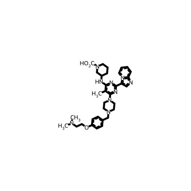 Cc1c(NC2CCCN(C(=O)O)C2)nc(-c2cnc3ccccn23)nc1N1CCN(Cc2ccc(OCCN(C)C)cc2)CC1